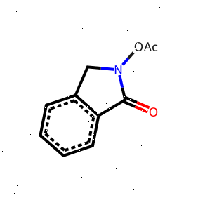 CC(=O)ON1Cc2ccccc2C1=O